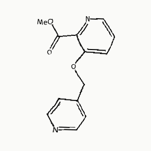 COC(=O)c1ncccc1OCc1ccncc1